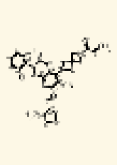 C=CC(=O)N1CC2(C1)CN(c1c(C#N)c(OC[C@@H]3CCCN3C)nc3c1CCN(c1c(C)cccc1Cl)C3)C2